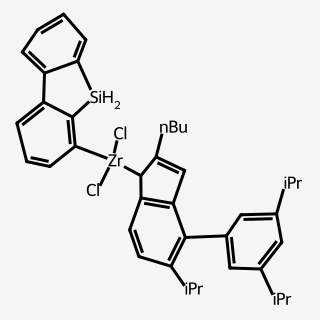 CCCCC1=Cc2c(ccc(C(C)C)c2-c2cc(C(C)C)cc(C(C)C)c2)[CH]1[Zr]([Cl])([Cl])[c]1cccc2c1[SiH2]c1ccccc1-2